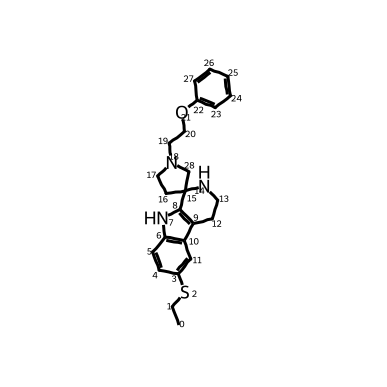 CCSc1ccc2[nH]c3c(c2c1)CCNC31CCN(CCOc2ccccc2)C1